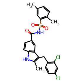 Cc1ccc(C)c(S(=O)(=O)NC(=O)c2ccc3[nH]c(C)c(Cc4ccc(Cl)cc4Cl)c3c2)c1